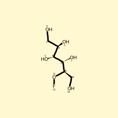 OC[C@@H](O)[C@@H](O)[C@H](O)[C@@H](CO)OF